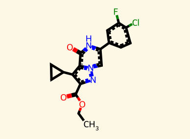 CCOC(=O)c1nn2cc(-c3ccc(Cl)c(F)c3)[nH]c(=O)c2c1C1CC1